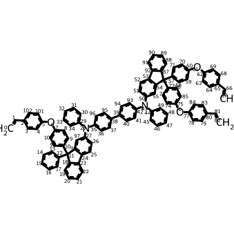 C=Cc1ccc(Oc2ccc(C3(c4ccccc4)c4ccccc4-c4ccc(N(c5ccccc5)c5ccc(-c6ccc(N(c7ccccc7)c7ccc8c(c7)C(c7ccc(Oc9ccc(C=C)cc9)cc7)(c7ccc(Oc9ccc(C=C)cc9)cc7)c7ccccc7-8)cc6)cc5)cc43)cc2)cc1